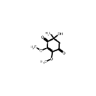 COC1=C(OC)C(=O)C(C)(O)CC1=O